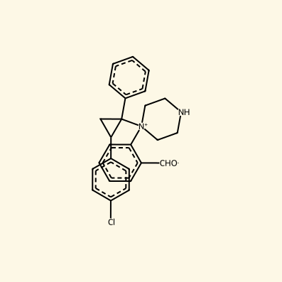 O=[C]c1ccccc1[N+]1(C2(c3ccccc3)CC2c2ccc(Cl)cc2)CCNCC1